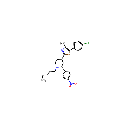 CCCCCN1CCC(c2nc(C)c(-c3ccc(Cl)cc3)s2)CC1c1ccc([N+](=O)[O-])cc1